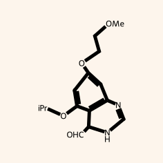 COCCOc1cc2c(c(OC(C)C)c1)C(C=O)NC=N2